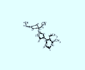 C=Cc1c(C)ncnc1-c1cnn(C2(CC#N)CN(SCC)C2)c1